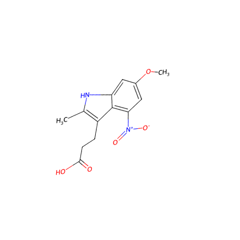 COc1cc([N+](=O)[O-])c2c(CCC(=O)O)c(C)[nH]c2c1